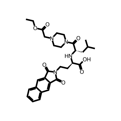 CCOC(=O)CN1CCN(C(=O)[C@H](CC(C)C)N[C@H](CCN2C(=O)c3cc4ccccc4cc3C2=O)C(=O)O)CC1